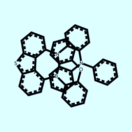 c1ccc(N2c3ccccc3N(c3cccc4sc5cccc(B6c7ccccc7Oc7ccccc76)c5c34)c3ccccc32)cc1